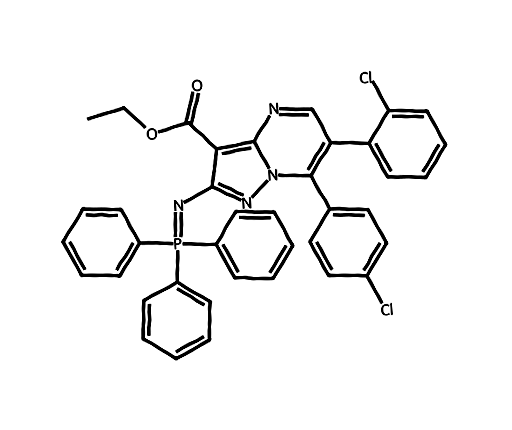 CCOC(=O)c1c(N=P(c2ccccc2)(c2ccccc2)c2ccccc2)nn2c(-c3ccc(Cl)cc3)c(-c3ccccc3Cl)cnc12